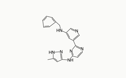 Cc1cc(Nc2ccnc(-c3cncc(NCc4ccccc4)c3)n2)n[nH]1